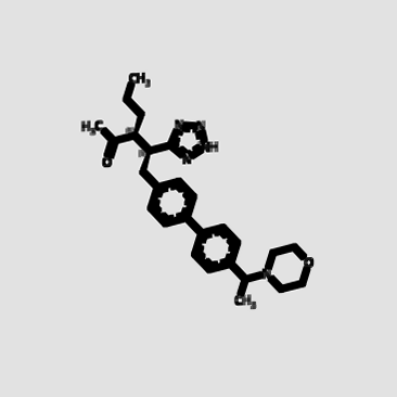 CCC[C@H](C(C)=O)[C@H](Cc1ccc(-c2ccc(C(C)N3CCOCC3)cc2)cc1)c1nn[nH]n1